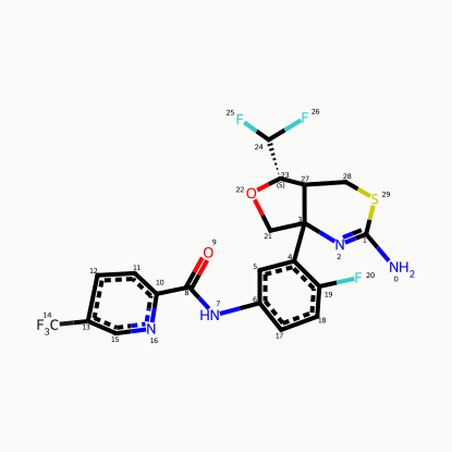 NC1=NC2(c3cc(NC(=O)c4ccc(C(F)(F)F)cn4)ccc3F)CO[C@H](C(F)F)C2CS1